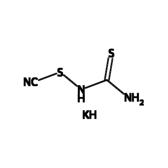 N#CSNC(N)=S.[KH]